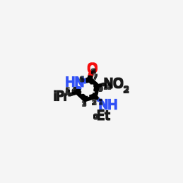 CCNc1cc(C(C)C)[nH]c(=O)c1[N+](=O)[O-]